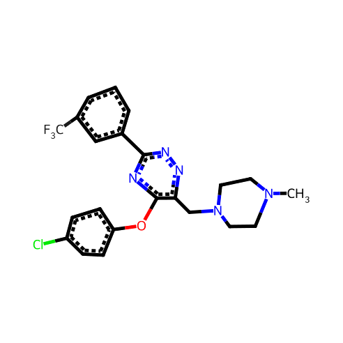 CN1CCN(Cc2nnc(-c3cccc(C(F)(F)F)c3)nc2Oc2ccc(Cl)cc2)CC1